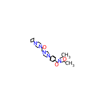 CC1CN(C(=O)c2ccc(N3CCN(CC(=O)N4CCN(C5CCC5)CC4)CC3)cc2)CC(C)O1